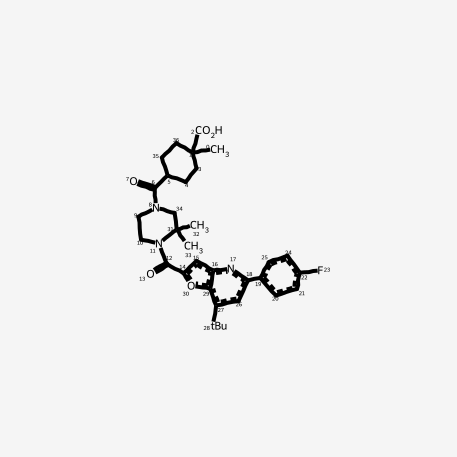 CC1(C(=O)O)CCC(C(=O)N2CCN(C(=O)c3cc4nc(-c5ccc(F)cc5)cc(C(C)(C)C)c4o3)C(C)(C)C2)CC1